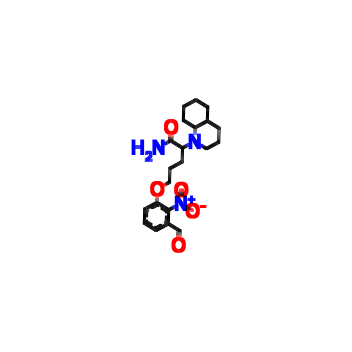 NC(=O)C(CCCOc1cccc(C=O)c1[N+](=O)[O-])N1CCCC2CCCCC21